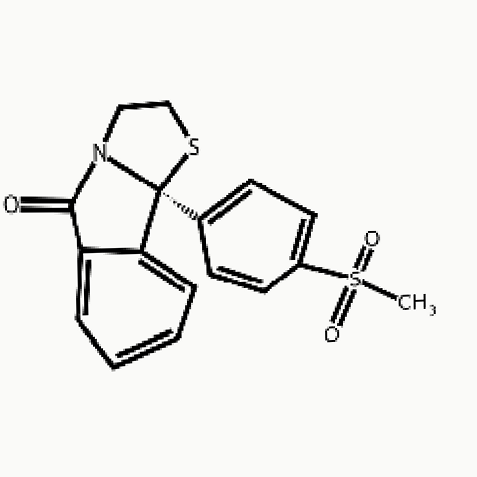 CS(=O)(=O)c1ccc([C@@]23SCCN2C(=O)c2ccccc23)cc1